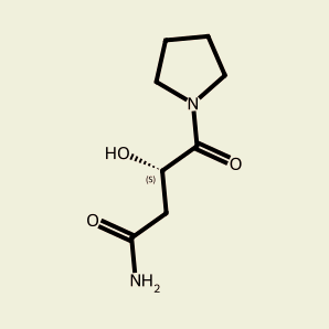 NC(=O)C[C@H](O)C(=O)N1CCCC1